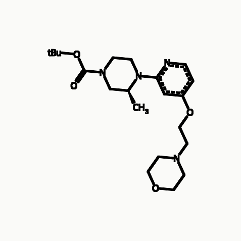 C[C@H]1CN(C(=O)OC(C)(C)C)CCN1c1cc(OCCN2CCOCC2)ccn1